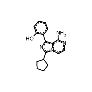 Nc1nccn2c(C3CCCC3)nc(-c3ccccc3O)c12